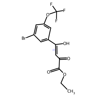 CCOC(=O)C(=O)/C=C(\O)c1cc(Br)cc(OC(F)(F)F)c1